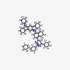 c1ccc(-c2cccc(-c3nc(-c4ccccc4)cc(-c4ccc(-n5c6ccccc6c6cc7c(cc65)c5ccccc5n7-c5ccccc5)c5ccccc45)n3)c2)cc1